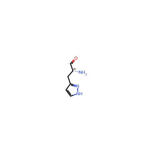 N[C@@H]([C]=O)Cc1cc[nH]n1